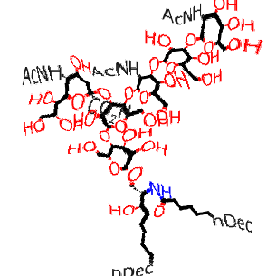 CCCCCCCCCCCCC/C=C/[C@@H](O)[C@H](CO[C@@H]1OC(CO)[C@@H](O[C@@H]2OC(CO)[C@H](O[C@@H]3OC(CO)[C@H](O)[C@H](O[C@@H]4OC(CO)[C@H](O)[C@H](O[C@@H]5OC(CO)[C@@H](O)[C@H](O)C5NC(C)=O)C4O)C3NC(C)=O)[C@H](O[C@]3(C(=O)O)CC(O)[C@@H](NC(C)=O)C([C@H](O)[C@H](O)CO)O3)C2O)[C@H](O)C1O)NC(=O)CCCCCCCCCCCCCCC